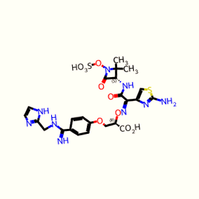 CC1(C)[C@H](NC(=O)C(=NO[C@H](COc2ccc(C(=N)NCc3ncc[nH]3)cc2)C(=O)O)c2csc(N)n2)C(=O)N1OS(=O)(=O)O